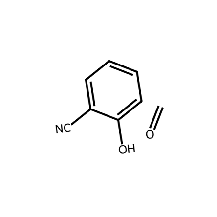 C=O.N#Cc1ccccc1O